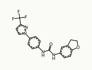 O=C(Nc1ccc(-n2ccc(C(F)(F)F)n2)cc1)Nc1ccc2c(c1)CCO2